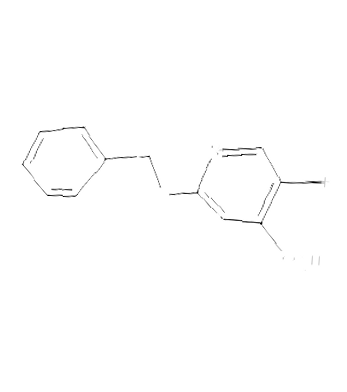 O=C(O)c1cc(SCc2ccccc2)ncc1F